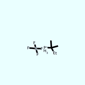 CCC(C)(C)[PH3+].F[B-](F)(F)F